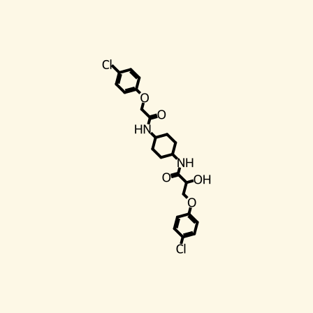 O=C(COc1ccc(Cl)cc1)NC1CCC(NC(=O)C(O)COc2ccc(Cl)cc2)CC1